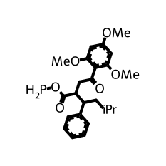 COc1cc(OC)c(C(=O)CC(C(=O)OP)C(CC(C)C)c2ccccc2)c(OC)c1